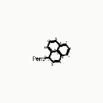 CCCC(C)C1C=Cc2cccc3cccc1c23